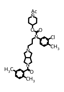 CC(=O)N1CCC(OC(=O)N(CCCN2CC3CN(C(=O)c4cc(C)ccc4C)CC3C2)c2ccc(C)c(Cl)c2)CC1